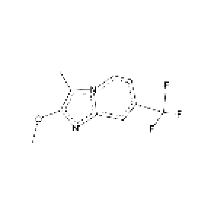 COc1nc2cc(C(F)(F)F)ccn2c1C